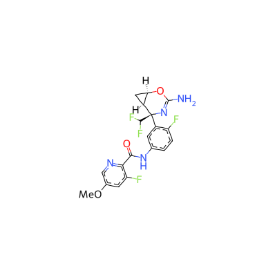 COc1cnc(C(=O)Nc2ccc(F)c([C@@]3(C(F)F)N=C(N)O[C@@H]4C[C@@H]43)c2)c(F)c1